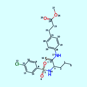 CCCC(NS(=O)(=O)c1ccc(Cl)cc1)C(=S)Nc1ccc(CCC(=O)OC)cc1